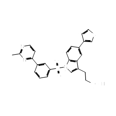 Cc1nccc(-c2cccc(S(=O)(=O)n3cc(CCC(=O)O)c4cc(-c5ccsc5)ccc43)c2)n1